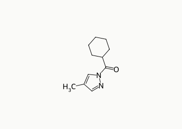 Cc1cnn(C(=O)C2CCCCC2)c1